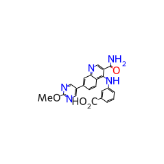 COc1ncc(-c2ccc3c(Nc4cccc(C(=O)O)c4)c(C(N)=O)cnc3c2)cn1